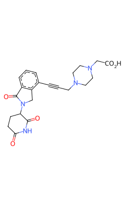 O=C(O)CN1CCN(CC#Cc2cccc3c2CN(C2CCC(=O)NC2=O)C3=O)CC1